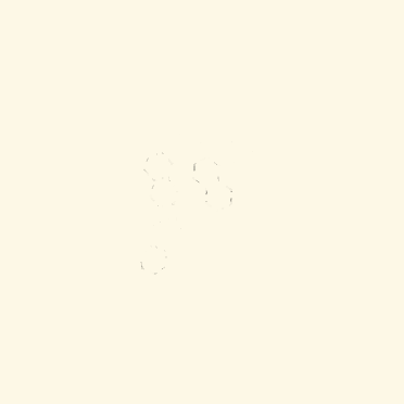 O=C(O)Oc1ccc2ccccc2c1.O=C(O)Oc1cccc2ccccc12.O=C(O)Oc1ccccc1